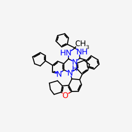 CC1(c2ccccc2)NC(c2ccccc2)NC(c2cc(C3=CC=CCC3)cnc2N2C3=CCCC=C3C3C=Cc4oc5c(c4C32)CCCC5)N1